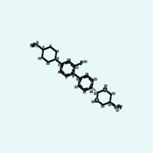 CCCC1CCC(c2ccc(-c3ccc([C@H]4OC[C@H](CCC)CO4)cc3)c(F)c2)CC1